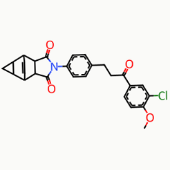 COc1ccc(C(=O)CCc2ccc(N3C(=O)C4C5C=CC(C6CC56)C4C3=O)cc2)cc1Cl